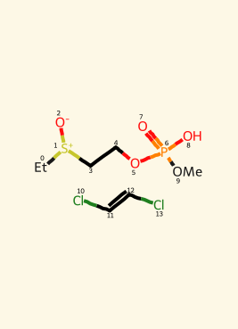 CC[S+]([O-])CCOP(=O)(O)OC.ClC=CCl